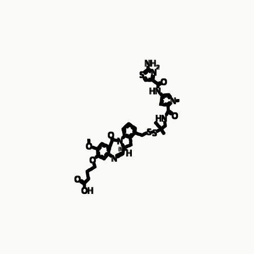 COc1cc2c(cc1OCCCC(=O)O)N=C[C@@H]1Cc3c(CSSC(C)(C)CNC(=O)c4cc(NC(=O)c5csc(N)n5)cn4C)cccc3N1C2=O